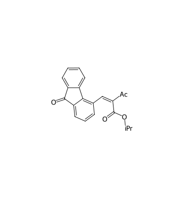 CC(=O)/C(=C/c1cccc2c1-c1ccccc1C2=O)C(=O)OC(C)C